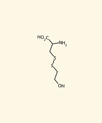 NC(CSSCCO)C(=O)O